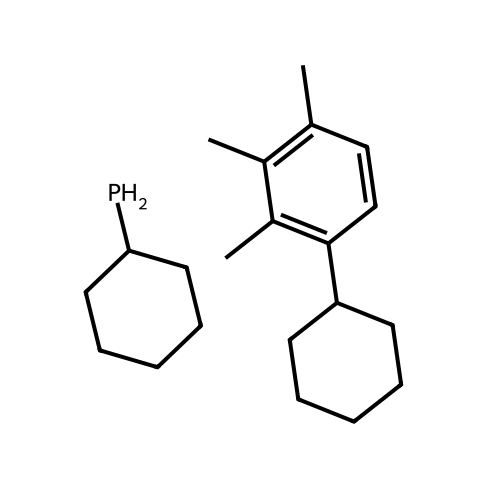 Cc1ccc(C2CCCCC2)c(C)c1C.PC1CCCCC1